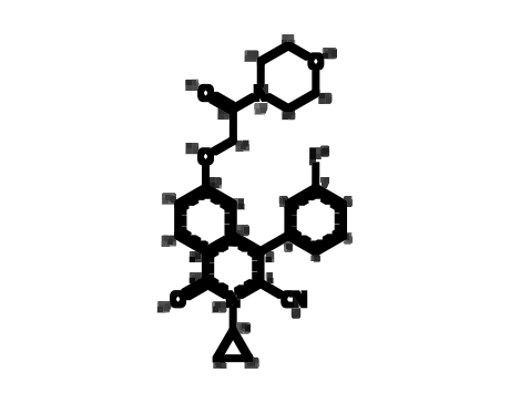 N#Cc1c(-c2cccc(F)c2)c2cc(OCC(=O)N3CCOCC3)ccc2c(=O)n1C1CC1